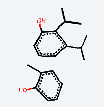 CC(C)c1cccc(O)c1C(C)C.Cc1ccccc1O